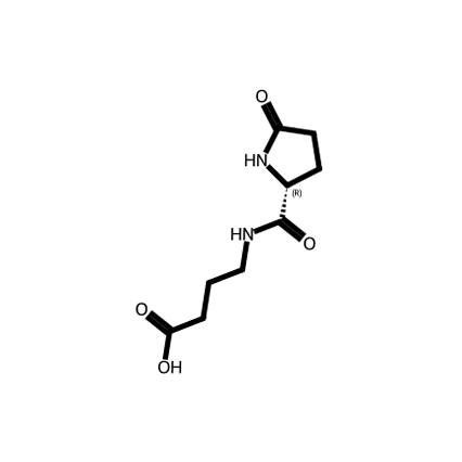 O=C(O)CCCNC(=O)[C@H]1CCC(=O)N1